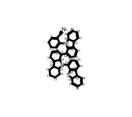 N#CC1=CCCC=C1N1c2c(cccc2C2C=CCC3C4CCCCC4N(c4cccc5c4SC4C=CC=CC54)C23)C2C=CC=CC21